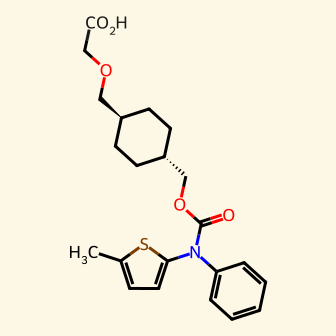 Cc1ccc(N(C(=O)OC[C@H]2CC[C@H](COCC(=O)O)CC2)c2ccccc2)s1